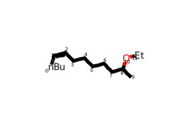 CCCC/C=C\CCCCCC(C)OCC